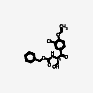 C=COc1ccc(C(=O)[C@@H](CO)NC(=O)OCc2ccccc2)cc1Cl